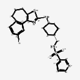 O=S(=O)(NC[C@H]1CC[C@H](Nc2nc3c(s2)CCCc2ccc(F)cc2-3)CC1)c1cccnc1